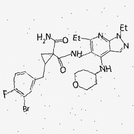 CCc1nc2c(cnn2CC)c(NC2CCOCC2)c1CNC(=O)C1(C(N)=O)CC1Cc1ccc(F)c(Br)c1